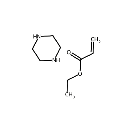 C1CNCCN1.C=CC(=O)OCC